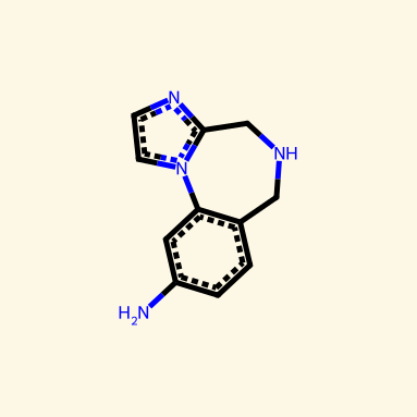 Nc1ccc2c(c1)-n1ccnc1CNC2